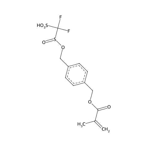 C=C(C)C(=O)OCc1ccc(COS(=O)C(F)(F)S(=O)(=O)O)cc1